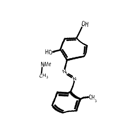 CNC.Cc1ccccc1N=Nc1ccc(O)cc1O